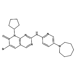 O=c1c(Br)cc2cnc(Nc3ccc(N4CCCCCC4)cn3)nc2n1C1CCCC1